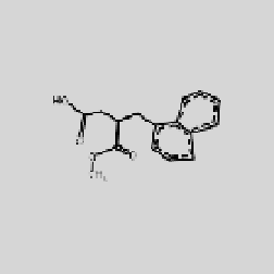 COC(=O)C(CC(=O)O)Cc1cccc2ccccc12